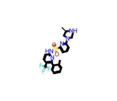 Cc1ccccc1-c1nc(NS(=O)(=O)c2cccc(N3CCN[C@H](C)C3)n2)ccc1C(F)(F)F